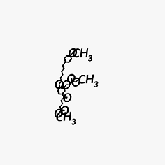 CCOC(=O)COc1cc(C(=O)CCCC(=O)OC)ccc1OCCCCC=Cc1ccc(OC)cc1